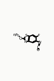 CCCOc1nc2cc(N=C=O)c(F)cc2s1